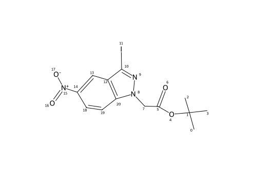 CC(C)(C)OC(=O)Cn1nc(I)c2cc([N+](=O)[O-])ccc21